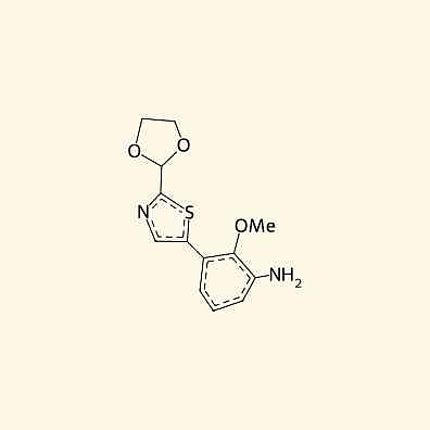 COc1c(N)cccc1-c1cnc(C2OCCO2)s1